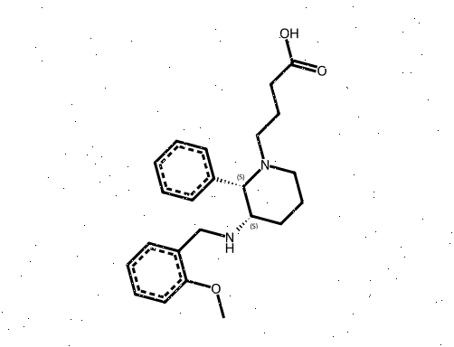 COc1ccccc1CN[C@H]1CCCN(CCCC(=O)O)[C@H]1c1ccccc1